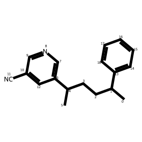 CC(CCC(C)c1cncc(C#N)c1)c1ccccc1